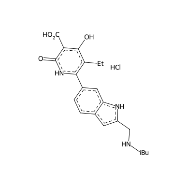 CCc1c(-c2ccc3cc(CNC(C)CC)[nH]c3c2)[nH]c(=O)c(C(=O)O)c1O.Cl